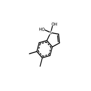 Cc1cc2c(cc1C)S(O)(O)C=C2